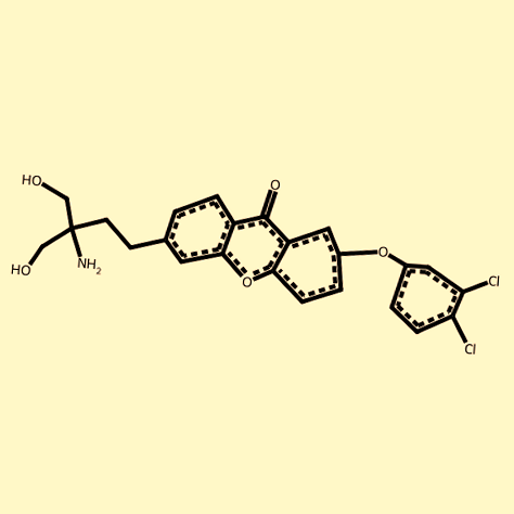 NC(CO)(CO)CCc1ccc2c(=O)c3cc(Oc4ccc(Cl)c(Cl)c4)ccc3oc2c1